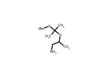 CC(CN)OC(C)(C)SC(C)(C)C